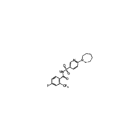 O=C(NS(=O)(=O)c1ccc(N2CCCCCC2)nc1)c1ccc(F)cc1C(F)(F)F